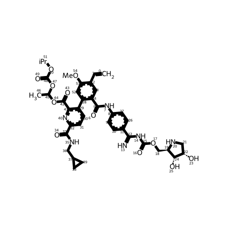 C=Cc1cc(C(=O)Nc2ccc(C(=N)NC(=O)OC[C@H]3NC[C@H](O)[C@@H]3O)cc2)c(-c2ccc(C(=O)NCC3CC3)nc2C(=O)OC(C)OC(=O)OC(C)C)cc1OC